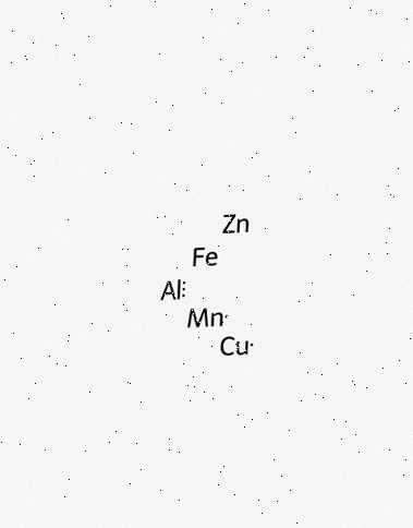 [Al].[Cu].[Fe].[Mn].[Zn]